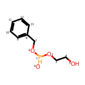 O=[PH](OCCO)OCc1ccccc1